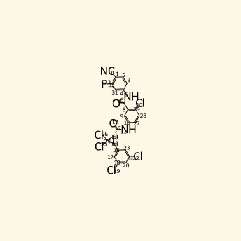 N#Cc1ccc(NC(=O)c2cc(NC(=O)[C@@H]3[C@@H](c4cc(Cl)cc(Cl)c4)C3(Cl)Cl)ccc2Cl)cc1F